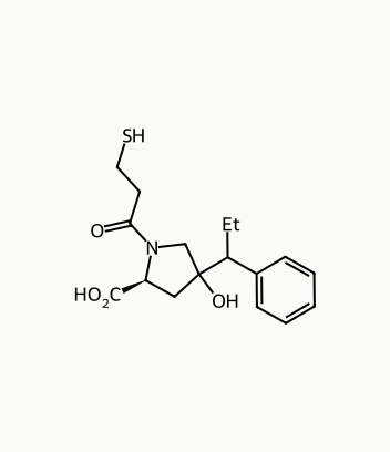 CCC(c1ccccc1)C1(O)C[C@@H](C(=O)O)N(C(=O)CCS)C1